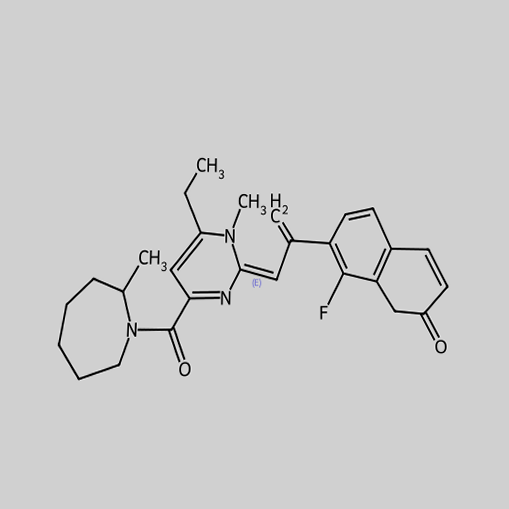 C=C(/C=C1/N=C(C(=O)N2CCCCCC2C)C=C(CC)N1C)c1ccc2c(c1F)CC(=O)C=C2